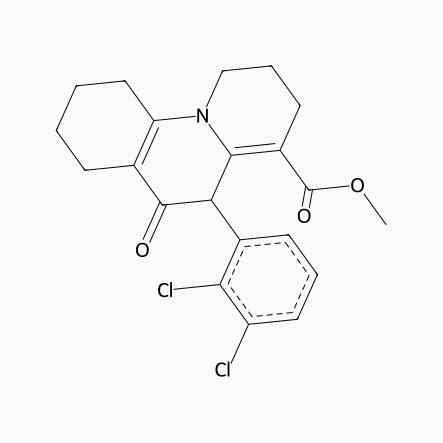 COC(=O)C1=C2C(c3cccc(Cl)c3Cl)C(=O)C3=C(CCCC3)N2CCC1